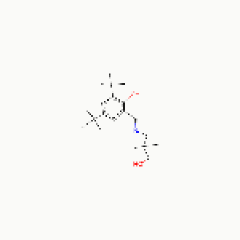 CC(C)(CO)C/N=C/c1cc(C(C)(C)C)cc(C(C)(C)C)c1O